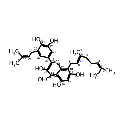 CC(C)=CCC/C(C)=C/Cc1c(O)cc(O)c2c1OC(c1cc(O)c(O)c(CC=C(C)C)c1)=C(O)C2C=O